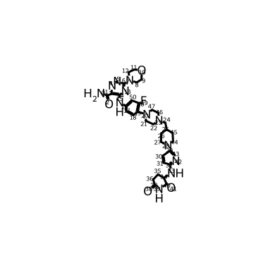 NC(=O)c1nnc(N2CCOCC2)nc1Nc1ccc(N2CCN(CC3CCN(c4ccc(NC5CCC(=O)NC5=O)nc4)CC3)CC2)c(F)c1